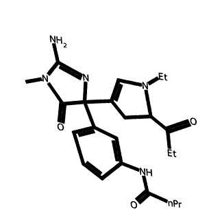 CCCC(=O)Nc1cccc(C2(C3=CN(CC)C(C(=O)CC)C3)N=C(N)N(C)C2=O)c1